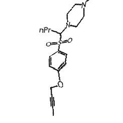 CC#CCOc1ccc(S(=O)(=O)C(C[CH]C)N2CCN(C)CC2)cc1